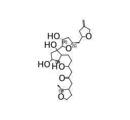 C=C1COC(C[C@@H]2C[C@@H](O)C(C3(O)CC(O)[C@H]4OC(CC(=O)CC5CCO[C@H]5C)CCC43)O2)C1